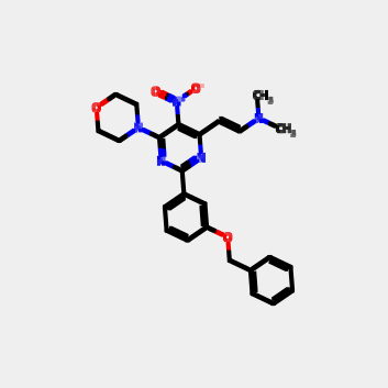 CN(C)C=Cc1nc(-c2cccc(OCc3ccccc3)c2)nc(N2CCOCC2)c1[N+](=O)[O-]